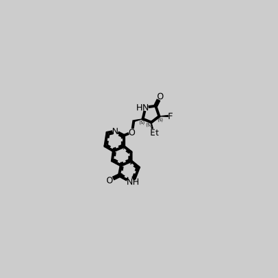 CC[C@@H]1[C@H](F)C(=O)N[C@@H]1COc1nccc2cc3c(=O)[nH]ccc3cc12